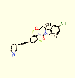 CN1C(=O)N(c2c(F)cc(C#Cc3cccnc3)cc2F)C(=O)CC1(C)c1cccc(Cl)c1